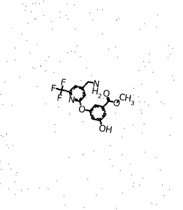 COC(=O)c1cc(O)cc(Oc2cc(CN)cc(C(F)(F)F)n2)c1